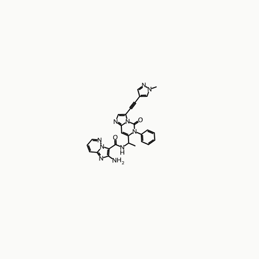 CC(NC(=O)c1c(N)nc2cccnn12)c1cc2ncc(C#Cc3cnn(C)c3)n2c(=O)n1-c1ccccc1